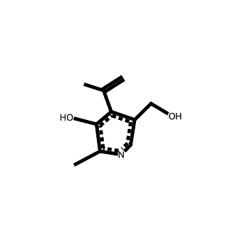 C=C(C)c1c(CO)cnc(C)c1O